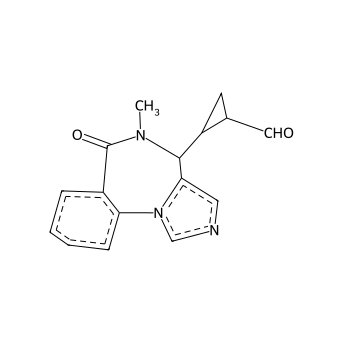 CN1C(=O)c2ccccc2-n2cncc2C1C1CC1C=O